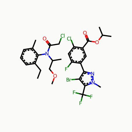 CC(C)OC(=O)c1cc(-c2nn(C)c(C(F)(F)F)c2Br)c(F)cc1Cl.CCc1cccc(C)c1N(C(=O)CCl)C(C)COC